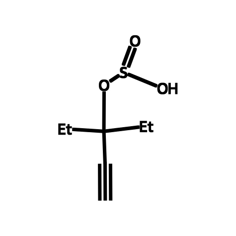 C#CC(CC)(CC)OS(=O)O